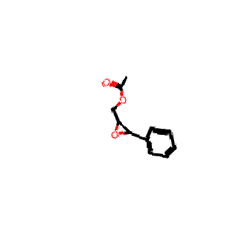 CC(=O)OCC1OC1c1ccccc1